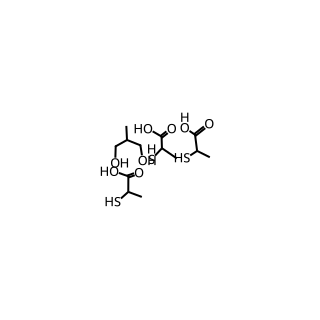 CC(CO)CO.CC(S)C(=O)O.CC(S)C(=O)O.CC(S)C(=O)O